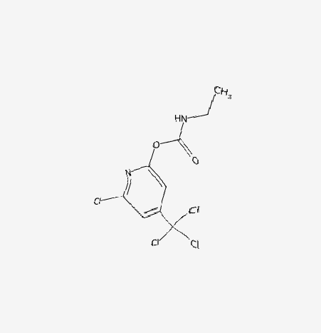 CCNC(=O)Oc1cc(C(Cl)(Cl)Cl)cc(Cl)n1